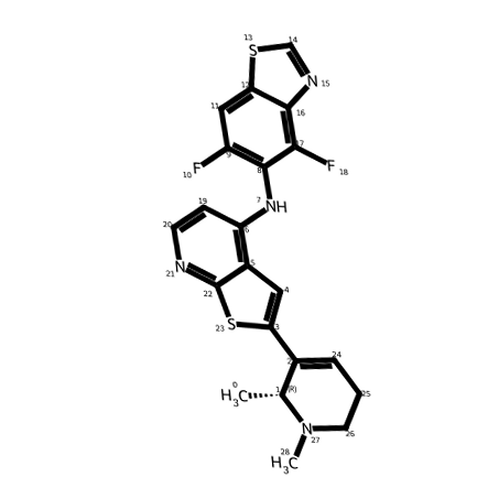 C[C@@H]1C(c2cc3c(Nc4c(F)cc5scnc5c4F)ccnc3s2)=CCCN1C